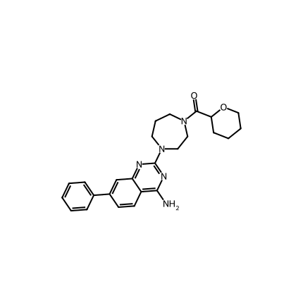 Nc1nc(N2CCCN(C(=O)C3CCCCO3)CC2)nc2cc(-c3ccccc3)ccc12